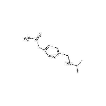 CC(C)NCc1ccc(CC(N)=O)cc1